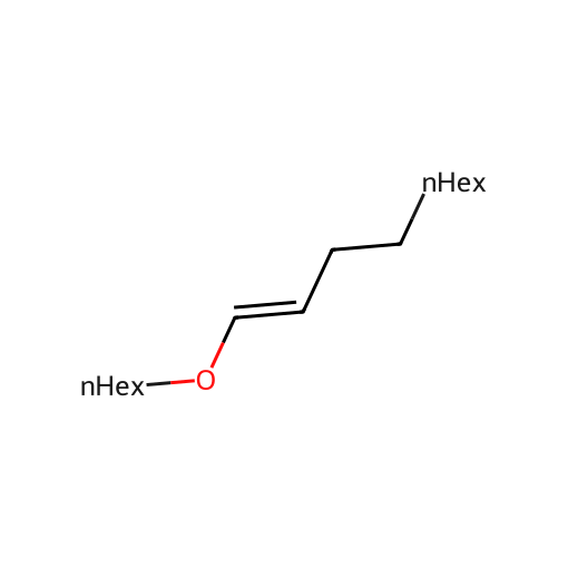 CCCCCCCCC=COCCCCCC